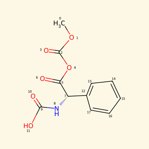 COC(=O)OC(=O)[C@@H](NC(=O)O)c1ccccc1